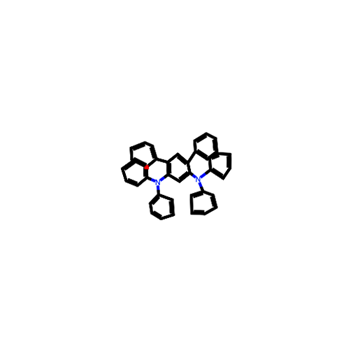 c1ccc(-c2cc(-c3ccccc3)c(N(c3ccccc3)c3ccccc3)cc2N(c2ccccc2)c2ccccc2)cc1